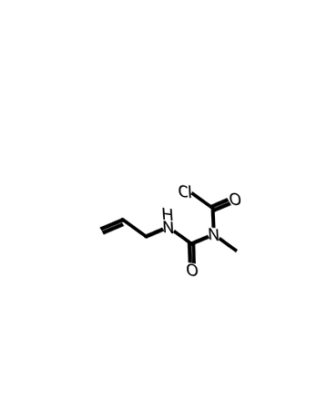 C=CCNC(=O)N(C)C(=O)Cl